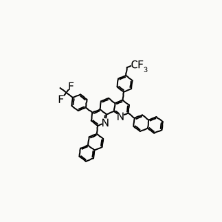 CC(F)(F)c1ccc(-c2cc(-c3ccc4ccccc4c3)nc3c2ccc2c(-c4ccc(CC(F)(F)F)cc4)cc(-c4ccc5ccccc5c4)nc23)cc1